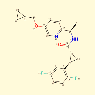 C[C@@H](NC(=O)[C@@H]1C[C@H]1c1cc(F)ccc1F)c1ccc(OCC2CC2)cn1